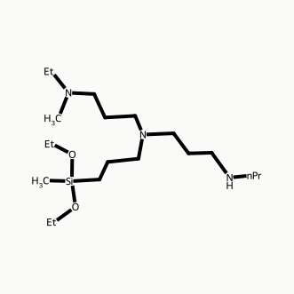 CCCNCCCN(CCCN(C)CC)CCC[Si](C)(OCC)OCC